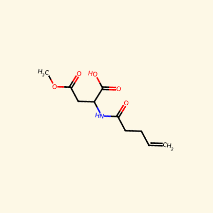 C=CCCC(=O)NC(CC(=O)OC)C(=O)O